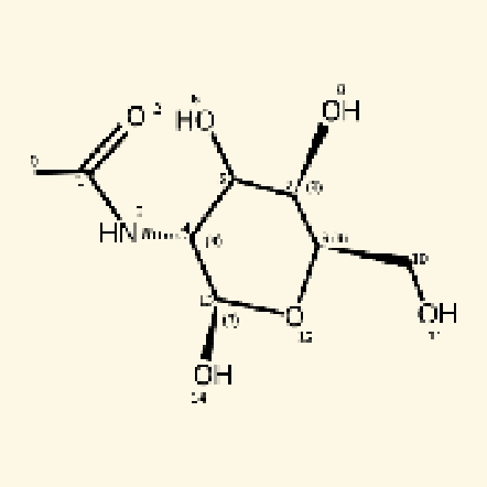 CC(=O)N[C@@H]1C(O)[C@@H](O)[C@@H](CO)O[C@H]1O